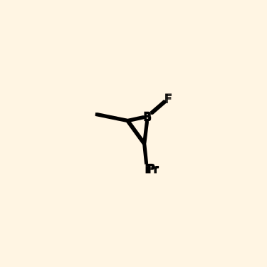 CC(C)C1B(F)C1C